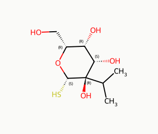 CC(C)[C@]1(O)[C@H](S)O[C@H](CO)[C@H](O)[C@@H]1O